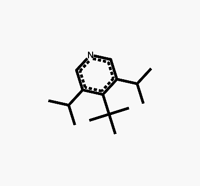 CC(C)c1cncc(C(C)C)c1C(C)(C)C